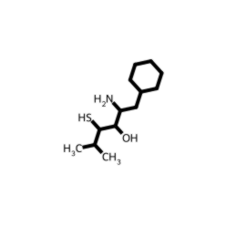 CC(C)C(S)C(O)C(N)CC1CCCCC1